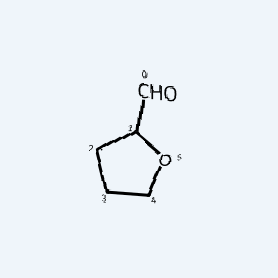 O=CC1[CH]CCO1